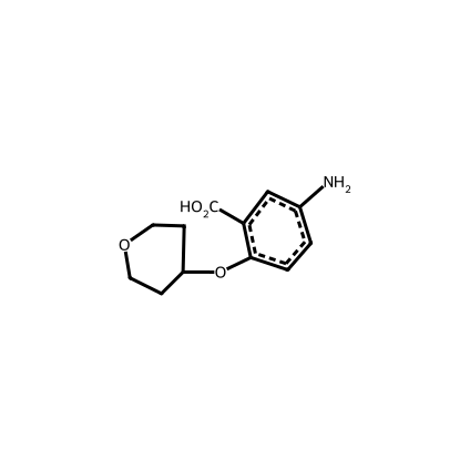 Nc1ccc(OC2CCOCC2)c(C(=O)O)c1